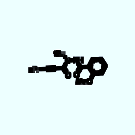 CCCC#CC(=O)N(NC(=O)c1ccccc1OC)C(C)(C)C